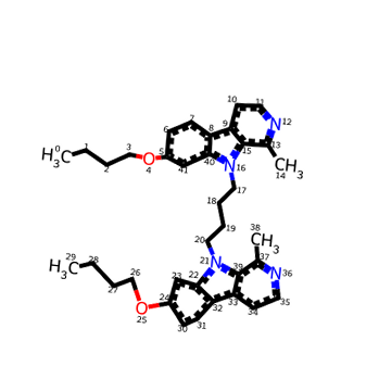 CCCCOc1ccc2c3ccnc(C)c3n(CCCCn3c4cc(OCCCC)ccc4c4ccnc(C)c43)c2c1